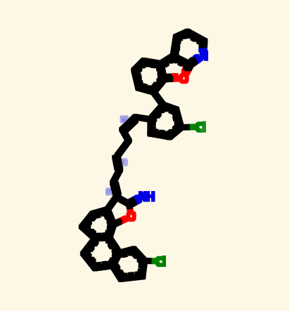 N=C1Oc2c(ccc3ccc4ccc(Cl)cc4c23)/C1=C/C=C/C/C=C\c1ccc(Cl)cc1-c1cccc2c1oc1ncccc12